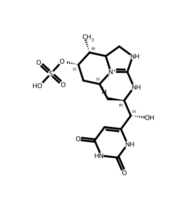 C[C@@H]1C2CNC3=[N+]2[C@H](C[C@@H]1OS(=O)(=O)O)C[C@H]([C@H](O)c1cc(=O)[nH]c(=O)[nH]1)N3